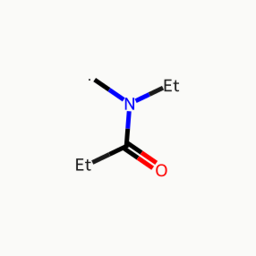 [CH2]N(CC)C(=O)CC